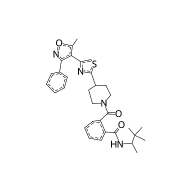 Cc1onc(-c2ccccc2)c1-c1csc(C2CCN(C(=O)c3ccccc3C(=O)NC(C)C(C)(C)C)CC2)n1